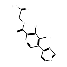 Cc1c(-c2ccncc2)cnc(C(=O)NCC(=O)O)c1O